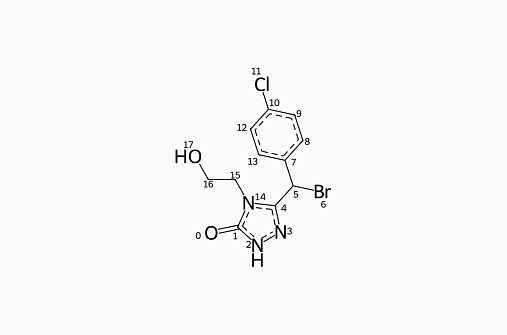 O=c1[nH]nc(C(Br)c2ccc(Cl)cc2)n1CCO